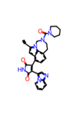 C#Cc1cc2c(C3=C(c4cnc5ccccn45)C(=O)NC3=O)ccc3c2n1CN(C(=O)N1CCCCC1)CC3